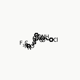 O=C(C=Cc1ccc(Cl)cc1)N[C@@H](Cc1ccccn1)C(=O)NCC(=O)N1CC(Oc2cc(C(F)(F)F)ncn2)C1